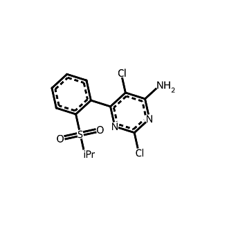 CC(C)S(=O)(=O)c1ccccc1-c1nc(Cl)nc(N)c1Cl